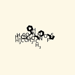 Cc1nc2c(OCc3sccc3F)cccn2c1C(=O)N[C@@H](CO[Si](C)(C)C(C)(C)C)c1ccccc1